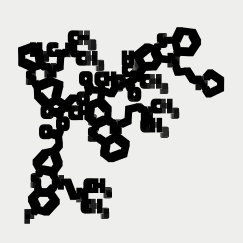 CC(CN1c2ccccc2Sc2ccc(C(C)(COC(=O)C(C)(COC(=O)C(C)(C)c3ccc4c(c3)N(CCCN3CCCC3)c3ccccc3S4)c3ccc4c(c3)N(CCCN(C)C)c3ccccc3S4)C(=O)OC(=O)Cc3ccc4c(c3)N(CCN(C)C)c3ccc(F)cc3S4)cc21)N(C)C